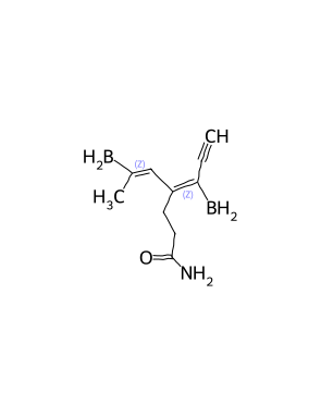 B/C(C)=C/C(CCC(N)=O)=C(/B)C#C